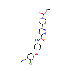 CC(C)(C)OC(=O)N1CCC(c2ccc(C(=O)NC3CCC(Oc4ccc(C#N)c(Cl)c4)CC3)nn2)CC1